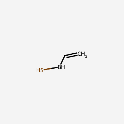 C=CBS